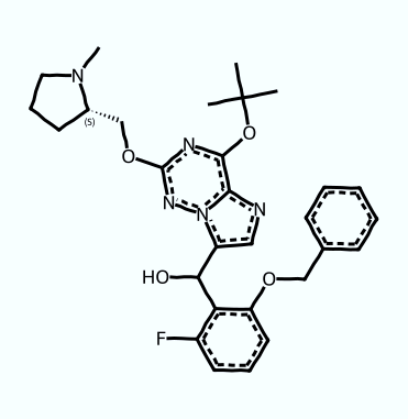 CN1CCC[C@H]1COc1nc(OC(C)(C)C)c2ncc(C(O)c3c(F)cccc3OCc3ccccc3)n2n1